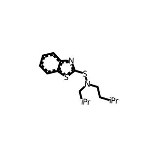 CC(C)CCN(CC(C)C)Sc1nc2ccccc2s1